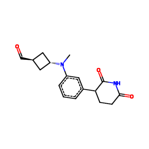 CN(c1cccc(C2CCC(=O)NC2=O)c1)[C@H]1C[C@H](C=O)C1